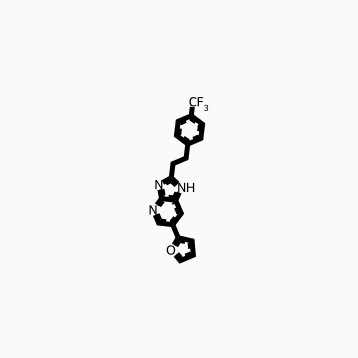 FC(F)(F)c1ccc(CCc2nc3ncc(-c4ccco4)cc3[nH]2)cc1